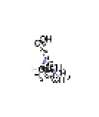 COC(/C=C/CCCCC(=O)O)[C@@H](O)[C@H](C)/C=C(/C)CO